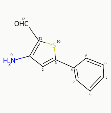 Nc1cc(-c2ccccc2)sc1C=O